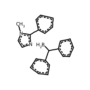 BC(c1ccccc1)c1ccccc1.Cn1ccnc1-c1ccccc1